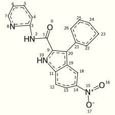 O=C(Nc1ccccn1)c1[nH]c2ccc([N+](=O)[O-])cc2c1-c1ccccc1